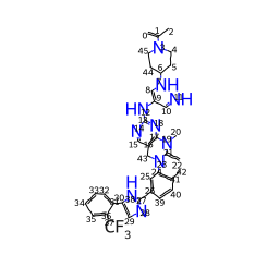 C=C(C)N1CCC(N/C=C(\C=N)Nc2ncc3c(n2)N(C)C(=C)N(c2cc(-c4ncc(-c5ccccc5C(F)(F)F)[nH]4)ccc2C)C3)CC1